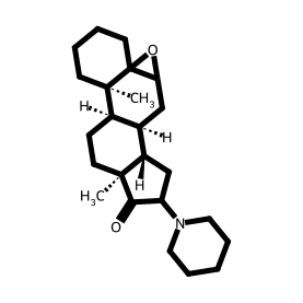 C[C@]12CC[C@@H]3[C@@H](CC4OC45CCCC[C@]35C)[C@@H]1CC(N1CCCCC1)C2=O